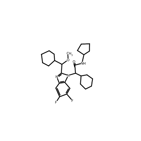 COC(c1nc2cc(F)c(F)cc2n1C(C(=O)NC1CCCC1)C1CCCCC1)C1CCCCC1